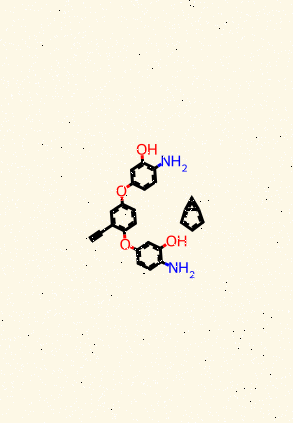 C#Cc1cc(Oc2ccc(N)c(O)c2)ccc1Oc1ccc(N)c(O)c1.c1cc2cc-2c1